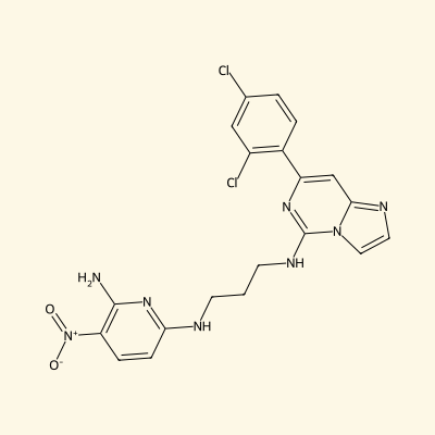 Nc1nc(NCCCNc2nc(-c3ccc(Cl)cc3Cl)cc3nccn23)ccc1[N+](=O)[O-]